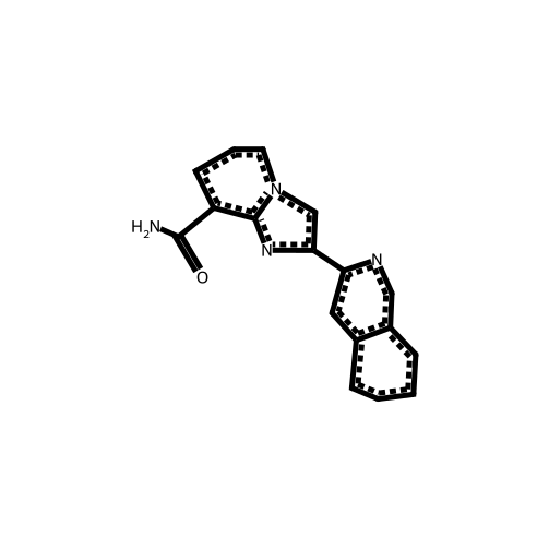 NC(=O)c1cccn2cc(-c3cc4ccccc4cn3)nc12